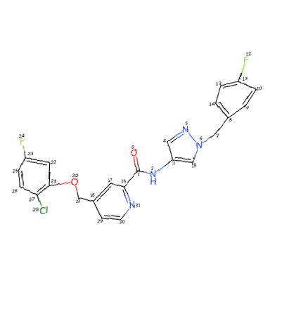 O=C(Nc1cnn(Cc2ccc(F)cc2)c1)c1cc(COc2cc(F)ccc2Cl)ccn1